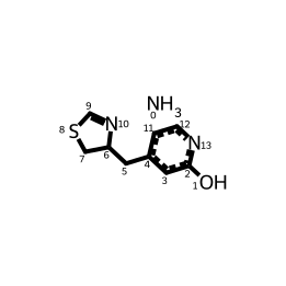 N.Oc1cc(CC2CSC=N2)ccn1